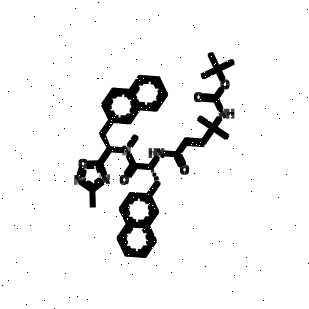 Cc1noc([C@@H](Cc2ccc3ccccc3c2)N(C)C(=O)[C@@H](Cc2ccc3ccccc3c2)NC(=O)C=CC(C)(C)NC(=O)OC(C)(C)C)n1